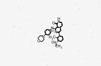 Cc1c(-c2cc3cc[nH]c(=O)c3c(Nc3ccc(N4CCOCC4)cc3)n2)cccc1[S+](C)[O-]